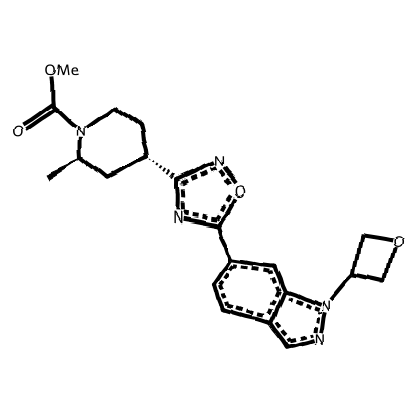 COC(=O)N1CC[C@H](c2noc(-c3ccc4cnn(C5COC5)c4c3)n2)C[C@H]1C